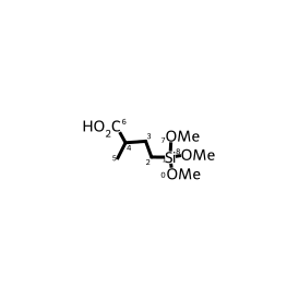 CO[Si](CCC(C)C(=O)O)(OC)OC